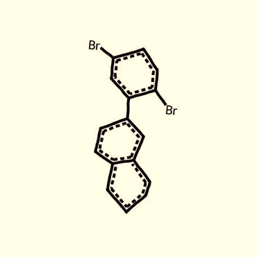 Brc1ccc(Br)c(-c2ccc3ccccc3c2)c1